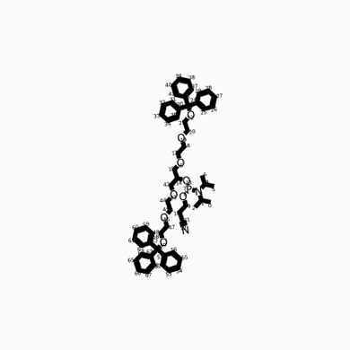 CC(C)N(C(C)C)P(OCCC#N)OC(COCCOCCOC(c1ccccc1)(c1ccccc1)c1ccccc1)COCCOCCOC(c1ccccc1)(c1ccccc1)c1ccccc1